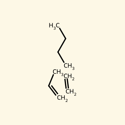 C=C.C=CC.CCCC